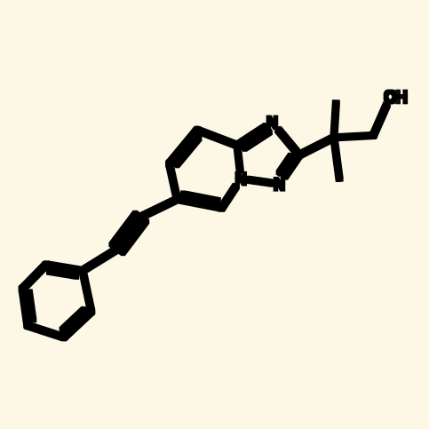 CC(C)(CO)c1nc2ccc(C#Cc3ccccc3)cn2n1